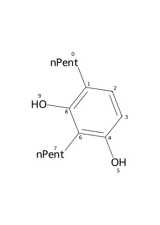 CCCCCc1ccc(O)c(CCCCC)c1O